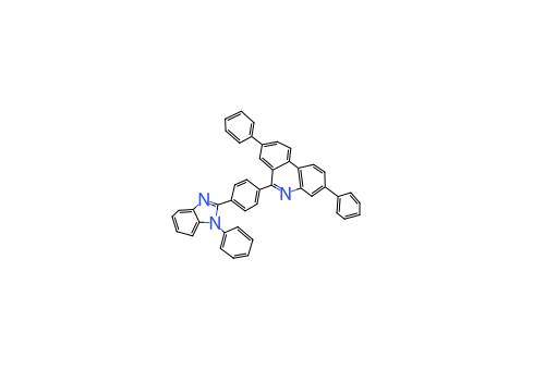 c1ccc(-c2ccc3c(c2)nc(-c2ccc(-c4nc5ccccc5n4-c4ccccc4)cc2)c2cc(-c4ccccc4)ccc23)cc1